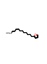 CCCCCC/C=C/C=C\CCCCCCCc1ccco1